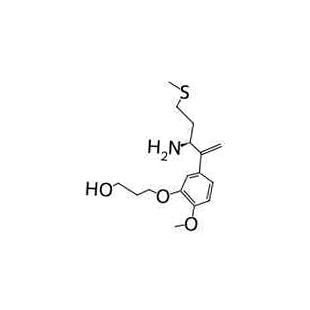 C=C(c1ccc(OC)c(OCCCO)c1)[C@@H](N)CCSC